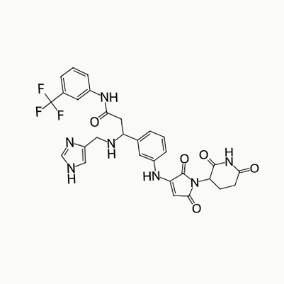 O=C1CCC(N2C(=O)C=C(Nc3cccc(C(CC(=O)Nc4cccc(C(F)(F)F)c4)NCc4c[nH]cn4)c3)C2=O)C(=O)N1